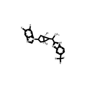 CC(c1nc2cc(C(F)(F)F)ccc2[nH]1)C1[C@H]2CC(n3cnc4cc(F)c(F)cc43)C[C@@H]12